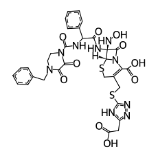 O=C(O)Cc1nnc(SCC2=C(C(=O)O)N3C(=O)[C@@](NO)(NC(=O)C(NC(=O)N4CCN(Cc5ccccc5)C(=O)C4=O)c4ccccc4)[C@H]3SC2)[nH]1